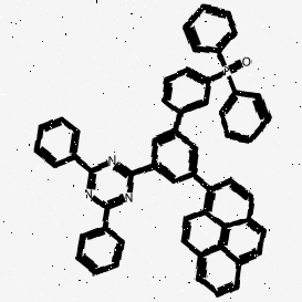 O=P(c1ccccc1)(c1ccccc1)c1cccc(-c2cc(-c3nc(-c4ccccc4)nc(-c4ccccc4)n3)cc(-c3ccc4ccc5cccc6ccc3c4c56)c2)c1